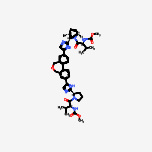 COC(=O)N[C@H](C(=O)N1CCC[C@H]1c1ncc(-c2ccc3c(c2)COCc2cc(-c4cnc([C@@H]5[C@H]6C=C[C@H](C6)N5C(=O)[C@@H](NC(=O)OC)C(C)C)[nH]4)ccc2-3)[nH]1)C(C)C